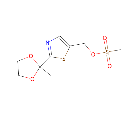 CC1(c2ncc(COS(C)(=O)=O)s2)OCCO1